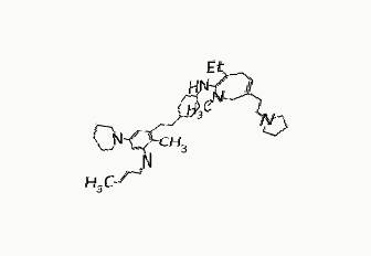 C/C=C/C=N\c1cc(N2CCCCC2)cc(CCC2CCC(NC3=C(CC)CC=C(CCN4CCCC4)CN3C)CC2)c1C